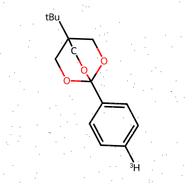 [3H]c1ccc(C23OCC(C(C)(C)C)(CO2)CO3)cc1